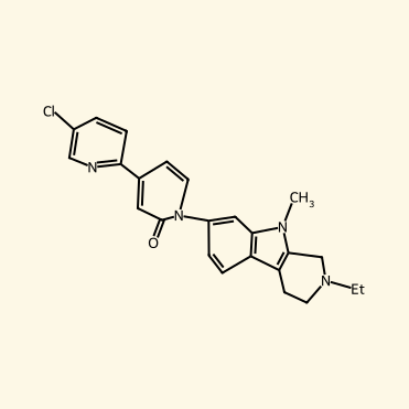 CCN1CCc2c(n(C)c3cc(-n4ccc(-c5ccc(Cl)cn5)cc4=O)ccc23)C1